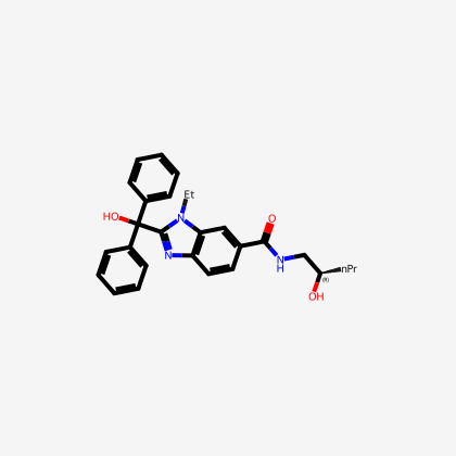 CCC[C@@H](O)CNC(=O)c1ccc2nc(C(O)(c3ccccc3)c3ccccc3)n(CC)c2c1